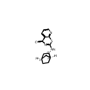 O=c1nc(N[C@H]2C[C@@H]3CC[C@H]2C3)sc2ncccc12